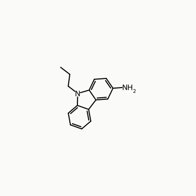 CCCn1c2ccccc2c2cc(N)ccc21